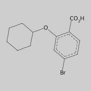 O=C(O)c1ccc(Br)cc1OC1CCCCC1